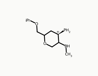 CBC1COC(COC(C)C)C[C@H]1P